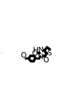 O=Cc1ccc(Cn2c(=O)[nH]c3ccsc3c2=O)cc1